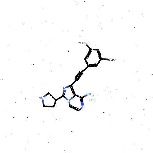 COc1cc(C#Cc2nc(C3CCNC3)n3ccnc(N)c23)cc(OC)c1.Cl